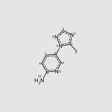 Cc1ncnn1-c1ccc(N)nc1